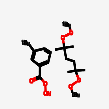 CC(C)(C)OOC(C)(C)CCC(C)(C)OOC(C)(C)C.CC(C)(C)c1cccc(C(=O)OO)c1